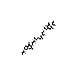 C=CC(=O)OC(C)CN(CC(C)OCCC(=O)OC(C)COCC(C)OC(=O)CCOC(C)CN(CC(C)OC(=O)C=C)C(=O)C=C)C(=O)C=C